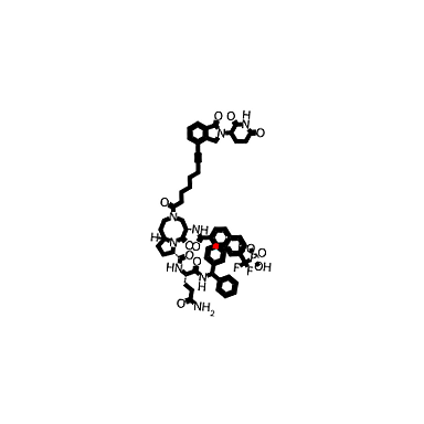 NC(=O)CC[C@H](NC(=O)[C@@H]1CC[C@@H]2CCN(C(=O)CCCCCC#Cc3cccc4c3CN(C3CCC(=O)NC3=O)C4=O)C[C@H](NC(=O)c3ccc4ccc(C(F)(F)P(=O)(O)O)cc4c3)C(=O)N21)C(=O)NC(c1ccccc1)c1ccccc1